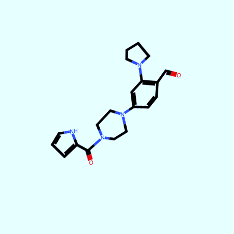 O=Cc1ccc(N2CCN(C(=O)c3ccc[nH]3)CC2)cc1N1CCCC1